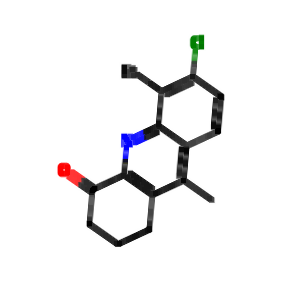 CCc1c(Cl)ccc2c(C)c3c(nc12)C(=O)CCC3